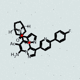 CC(=O)c1c(C2C[C@H]3CC[C@@H](C2)N3C(=O)c2ccn[nH]2)nc2c(-c3ccc(-c4ccc(F)cc4)nc3)cnn2c1N